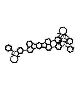 CC12CCCCCC1(C)N(c1ccccc1)c1ccc(-c3ccc4c5cc6c(cc5c5cccc3c54)c3ccc(-c4ccc5c(c4)C4(C)CCCCCC4(C)N5c4ccccc4)c4c(-c5ccc7c(c5)C5(C)CCCCCC5(C)N7c5ccccc5)ccc6c43)cc12